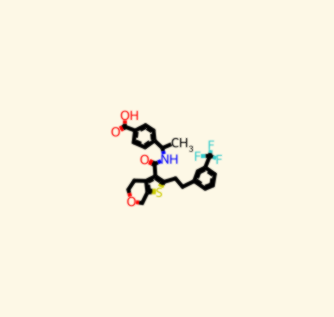 CC(NC(=O)c1c(CCc2cccc(C(F)(F)F)c2)sc2c1CCOC2)c1ccc(C(=O)O)cc1